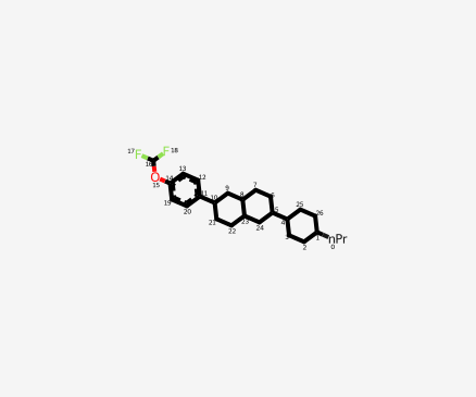 CCCC1CCC(C2CCC3CC(c4ccc(OC(F)F)cc4)CCC3C2)CC1